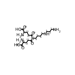 NCCCNCCCCN(C(=O)CCC(N)C(=O)O)C(=O)CCC(N)C(=O)O